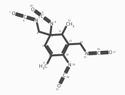 CC1=CC(CN=C=O)(N=C=O)C(C)C(CN=C=O)=C1N=C=O